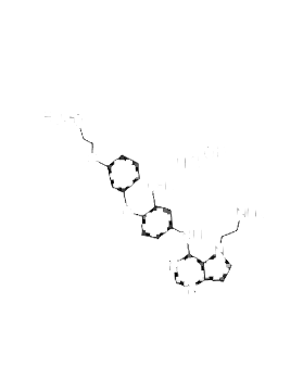 COCCOc1cccc(Oc2ccc(Nc3ncnc4ccn(CCN)c34)cc2C)c1.Cl.Cl